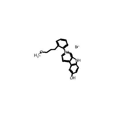 COCCCc1ccccc1-[n+]1ccc2c(c1)[nH]c1ccc(O)cc12.[Br-]